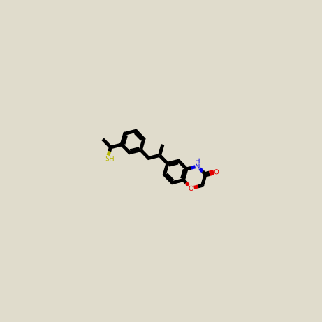 CC(S)c1cccc(CC(C)c2ccc3c(c2)NC(=O)CO3)c1